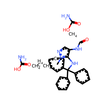 C.C.C.C.Cn1ncc(NC=O)c1NC(c1ccccc1)(c1ccccc1)c1ccccc1.NC(=O)O.NC(=O)O